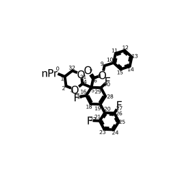 CCCC1COC(C2(C(=O)OCc3ccccc3)C(F)=CC(c3c(F)cccc3F)=CC2F)OC1